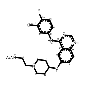 CC(=O)NCCN1CCC(Oc2ccc3ncnc(Nc4ccc(F)c(Cl)c4)c3c2)CC1